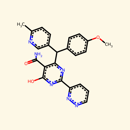 COc1ccc(C(c2ccc(C)nc2)c2nc(-c3cccnn3)nc(O)c2C(N)=O)cc1